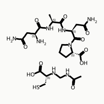 CC(=O)NCN[C@H](CS)C(=O)O.C[C@H](NC(=O)[C@@H](N)CC(N)=O)C(=O)N[C@@H](CC(N)=O)C(=O)N1CCC[C@H]1C(=O)O